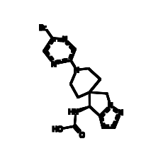 O=C(O)N[C@@H]1c2ccnn2CC12CCN(c1cnc(Br)cn1)CC2